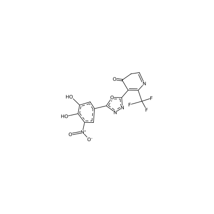 O=C1CC=NC(C(F)(F)F)=C1c1nnc(-c2cc(O)c(O)c([N+](=O)[O-])c2)o1